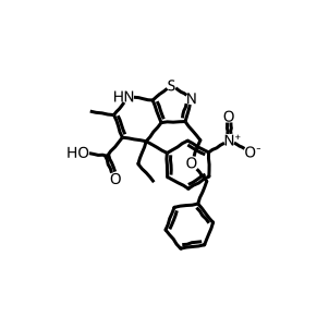 CCC1(c2cccc([N+](=O)[O-])c2)C(C(=O)O)=C(C)Nc2snc(COCc3ccccc3)c21